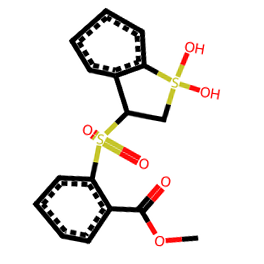 COC(=O)c1ccccc1S(=O)(=O)C1CS(O)(O)c2ccccc21